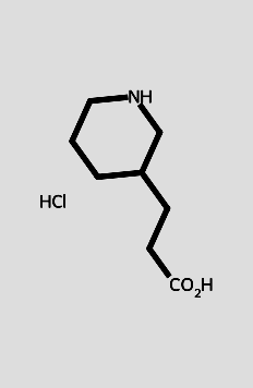 Cl.O=C(O)CCC1CCCNC1